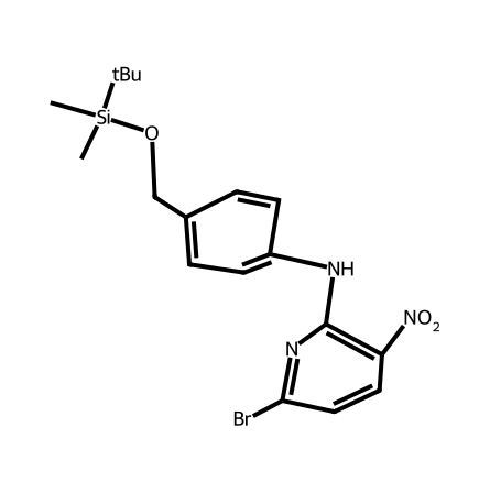 CC(C)(C)[Si](C)(C)OCc1ccc(Nc2nc(Br)ccc2[N+](=O)[O-])cc1